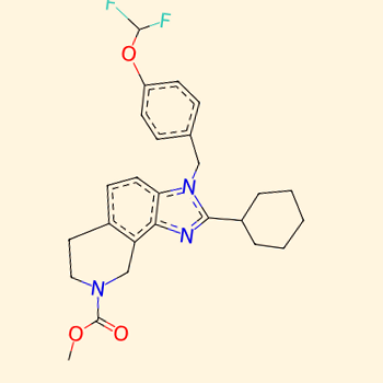 COC(=O)N1CCc2ccc3c(nc(C4CCCCC4)n3Cc3ccc(OC(F)F)cc3)c2C1